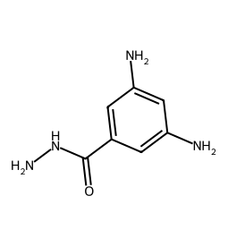 NNC(=O)c1cc(N)cc(N)c1